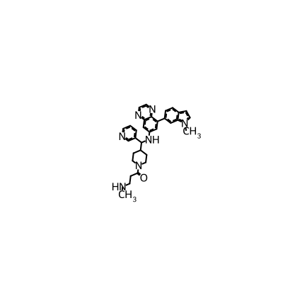 CNCCC(=O)N1CCC(C(Nc2cc(-c3ccc4ccn(C)c4c3)c3nccnc3c2)c2cccnc2)CC1